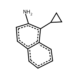 Nc1ccc2ccccc2c1C1CC1